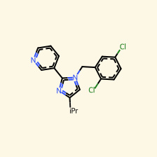 CC(C)c1cn(Cc2cc(Cl)ccc2Cl)c(-c2cccnc2)n1